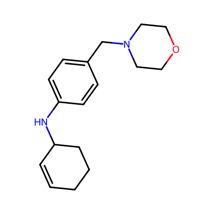 C1=CC(Nc2ccc(CN3CCOCC3)cc2)CCC1